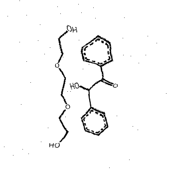 O=C(c1ccccc1)C(O)c1ccccc1.OCCOCCOCCO